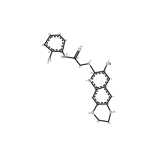 N#Cc1cc2cc3c(cc2nc1SCC(=O)Nc1ccccc1Cl)OCCO3